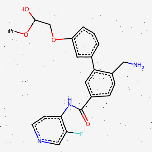 CC(C)OC(O)COc1cccc(-c2cc(C(=O)Nc3ccncc3F)ccc2CN)c1